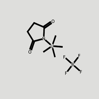 F[B-](F)(F)F.[CH3][U]([CH3])([CH3])([CH3])[N]1C(=O)CCC1=O